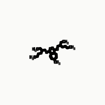 CCCCC(CC)COC(=O)C1=C(C(=O)OCC(CC)CCCC)C=CC(C)C=C1